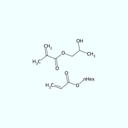 C=C(C)C(=O)OCC(C)O.C=CC(=O)OCCCCCC